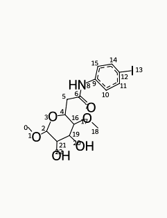 COC1OC(CC(=O)Nc2ccc(I)cc2)C(OC)C(O)C1O